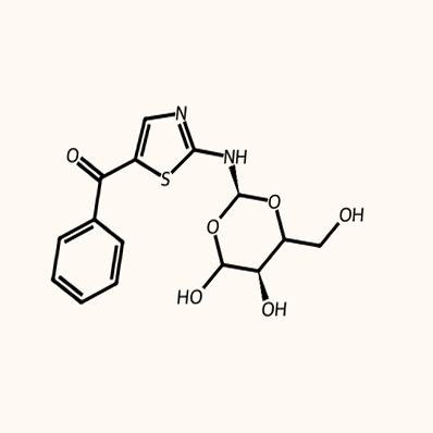 O=C(c1ccccc1)c1cnc(N[C@@H]2OC(O)[C@H](O)C(CO)O2)s1